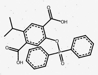 CC(C)c1cc(C(=O)O)c(OP(=O)(c2ccccc2)c2ccccc2)cc1C(=O)O